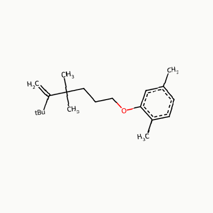 C=C(C(C)(C)C)C(C)(C)CCCOc1cc(C)ccc1C